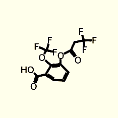 O=C(CC(F)(F)F)Oc1cccc(C(=O)O)c1OC(F)(F)F